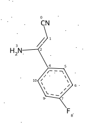 N#C/C=C(\N)c1ccc(F)cc1